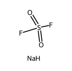 O=S(=O)(F)F.[NaH]